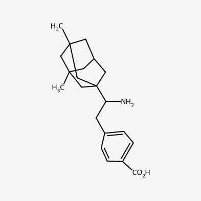 CC12CC3CC(C)(C1)CC(C(N)Cc1ccc(C(=O)O)cc1)(C3)C2